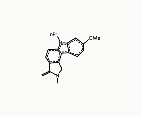 C=C1c2ccc3c(c2CN1C)c1ccc(OC)cc1n3CCC